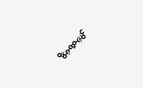 C/C=C\c1sc2c(-c3ncc(-c4ccc5c(c4)C(C)(C)c4cc(-c6ccc(-c7cccc8c7oc7ccccc78)nc6)ccc4-5)cn3)cccc2c1C